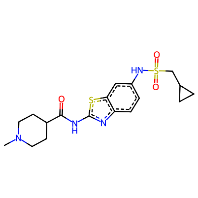 CN1CCC(C(=O)Nc2nc3ccc(NS(=O)(=O)CC4CC4)cc3s2)CC1